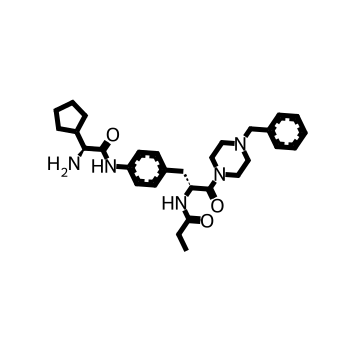 CCC(=O)N[C@H](Cc1ccc(NC(=O)[C@@H](N)C2CCCC2)cc1)C(=O)N1CCN(Cc2ccccc2)CC1